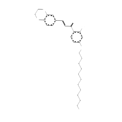 CCCCCCCCCCCCOc1ccc(C(=O)/C=C/c2ccc3c(c2)OCCO3)c(O)c1